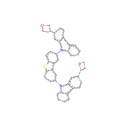 c1ccc2c(c1)c1ccc(C3COC3)cc1n2-c1ccc2sc3ccc(-n4c5ccccc5c5ccc(C6CCO6)cc54)cc3c2c1